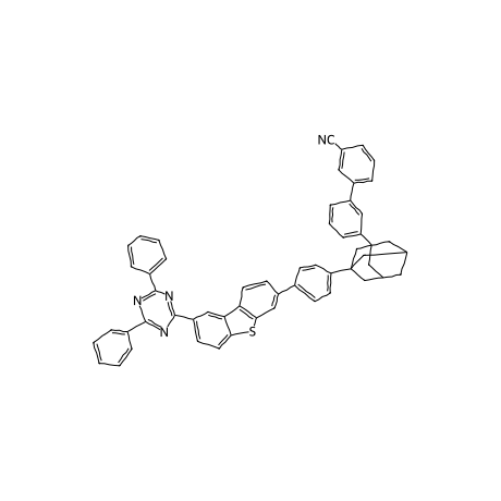 N#Cc1cccc(-c2cccc(C34CC5CC(CC(c6ccc(-c7ccc8c(c7)sc7ccc(-c9nc(-c%10ccccc%10)nc(-c%10ccccc%10)n9)cc78)cc6)(C5)C3)C4)c2)c1